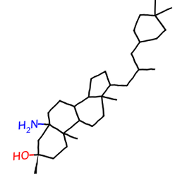 CC(CC1CCC(C)(C)CC1)CC1CCC2C3CCC4(N)C[C@@](C)(O)CCC4(C)C3CCC12C